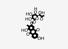 CC(=O)C(O)[C@H]1OC(OOc2cc3c(c(O)c2C)C(=O)c2ccc(O)cc2C3=O)[C@H](O)[C@@H](O)[C@@H]1O